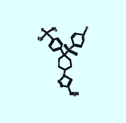 CCOC(=O)c1cn(C2CCC(c3ccc(C(F)(C(F)(F)F)C(F)(F)F)cc3)(S(=O)(=O)c3ccc(F)cc3)CC2)nn1